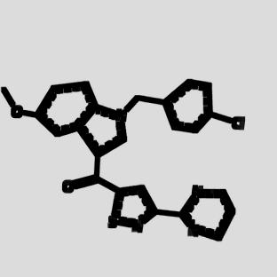 COc1ccc2c(c1)c(C(=O)c1cc(-c3ncccn3)ns1)cn2Cc1ccc(Cl)cc1